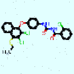 CCSc1c(Cl)c(Cl)c(Oc2ccc(NC(=O)NC(=O)c3ccccc3Cl)cc2)c2ccccc12